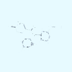 COc1ccc(C)c(NC(=O)C2=CNC(=O)C[C@H]2c2cccc(F)c2)c1